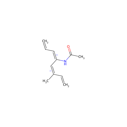 C=C/C=C(\C=C(\C)C=C)NC(C)=O